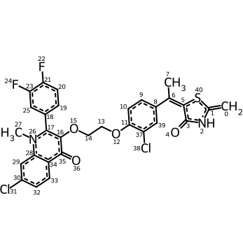 C=c1[nH]c(=O)/c(=C(/C)c2ccc(OCCOc3c(-c4ccc(F)c(F)c4)n(C)c4cc(Cl)ccc4c3=O)c(Cl)c2)s1